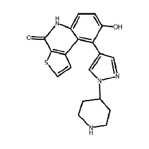 O=c1[nH]c2ccc(O)c(-c3cnn(C4CCNCC4)c3)c2c2ccsc12